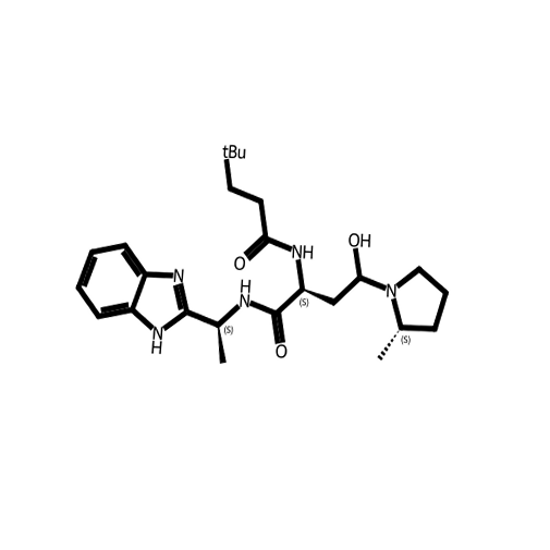 C[C@H](NC(=O)[C@H](CC(O)N1CCC[C@@H]1C)NC(=O)CCC(C)(C)C)c1nc2ccccc2[nH]1